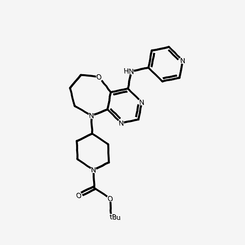 CC(C)(C)OC(=O)N1CCC(N2CCCOc3c(Nc4ccncc4)ncnc32)CC1